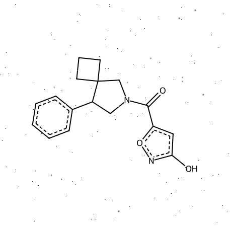 O=C(c1cc(O)no1)N1CC(c2ccccc2)C2(CCC2)C1